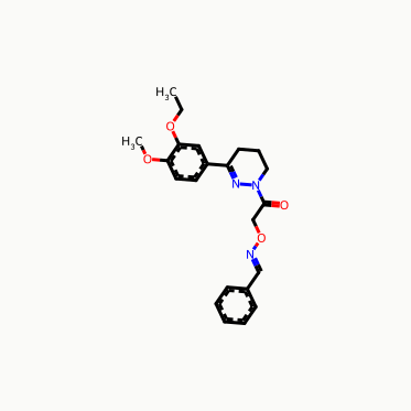 CCOc1cc(C2=NN(C(=O)CON=Cc3ccccc3)CCC2)ccc1OC